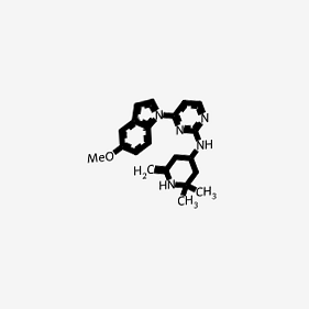 C=C1CC(Nc2nccc(-n3ccc4cc(OC)ccc43)n2)CC(C)(C)N1